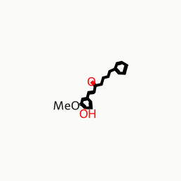 COc1cc(C=CC(=O)CCCCc2ccccc2)ccc1O